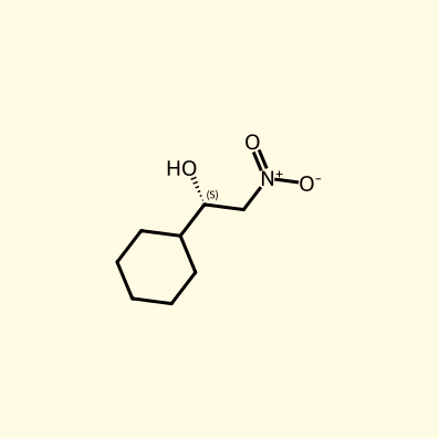 O=[N+]([O-])C[C@@H](O)C1CCCCC1